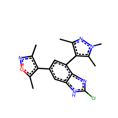 Cc1noc(C)c1-c1cc(-c2c(C)nn(C)c2C)c2nc(Cl)[nH]c2c1